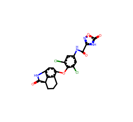 CC12CCCc3c(Oc4c(Cl)cc(NC(=O)c5noc(=O)[nH]5)cc4Cl)ccc(c31)NC2=O